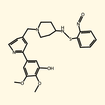 COc1cc(-c2cc(CN3CCC(NSc4ccccc4N=O)CC3)ccn2)cc(O)c1OC